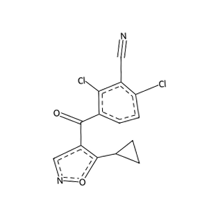 N#Cc1c(Cl)ccc(C(=O)c2cnoc2C2CC2)c1Cl